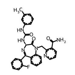 Cc1cccc(NC(=O)N[C@@H]2N=C(c3ccccc3F)c3ccccc3N(Cc3ncccc3C(N)=O)C2=O)c1